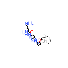 C=C(CC(C)C)Oc1ccccc1/N=N/c1ccc(NC(=O)[C@@H](N)CCCCN)nc1N